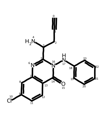 C#CCC(N)c1nc2cc(Cl)ccc2c(=O)n1Nc1ccccc1